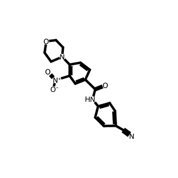 N#Cc1ccc(NC(=O)c2ccc(N3CCOCC3)c([N+](=O)[O-])c2)cc1